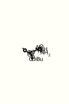 Cc1ccc(COP(=O)(COCCn2cnc3c(=O)[nH]c(N)nc32)OCOC(=O)OCC(C)C)cc1